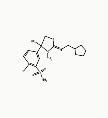 CN1C(=NCC2CCCC2)SCC1(O)c1ccc(Cl)c(S(N)(=O)=O)c1